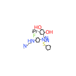 CC(C)c1cc(-c2nnc(Sc3ccccc3)n2-c2ccc(NCCCN(C)C)c(F)c2)c(O)cc1O